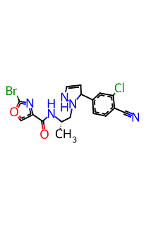 C[C@@H](CN1NC=CC1c1ccc(C#N)c(Cl)c1)NC(=O)c1coc(Br)n1